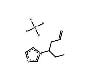 C=CCC(CC)n1ccnc1.F[B-](F)(F)F